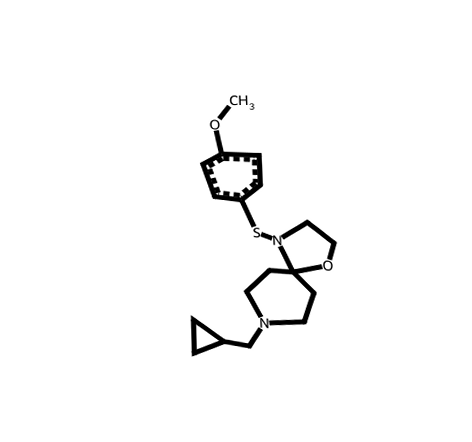 COc1ccc(SN2CCOC23CCN(CC2CC2)CC3)cc1